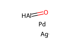 [Ag].[O]=[AlH].[Pd]